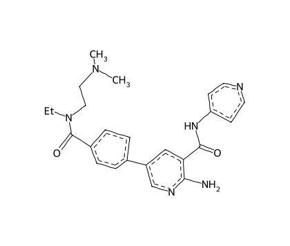 CCN(CCN(C)C)C(=O)c1ccc(-c2cnc(N)c(C(=O)Nc3ccncc3)c2)cc1